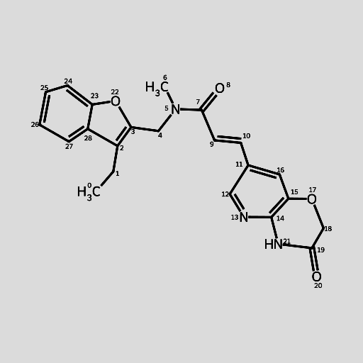 CCc1c(CN(C)C(=O)/C=C/c2cnc3c(c2)OCC(=O)N3)oc2ccccc12